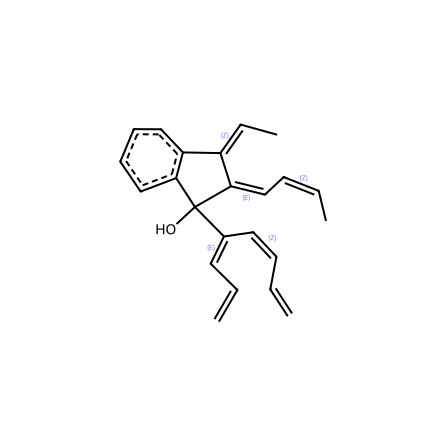 C=C/C=C\C(=C/C=C)C1(O)C(=C/C=C\C)/C(=C\C)c2ccccc21